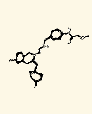 COCC(=O)Nc1ccc(CNCCN2Cc3ccc(F)cc3CC2Cc2ccc(F)cc2)cc1